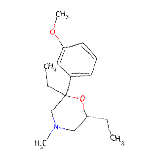 CCC1CN(C)CC(CC)(c2cccc(OC)c2)O1